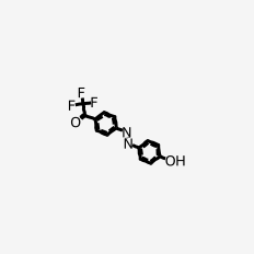 O=C(c1ccc(/N=N/c2ccc(O)cc2)cc1)C(F)(F)F